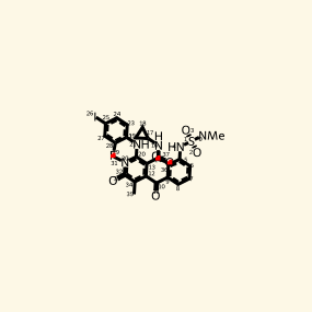 CNS(=O)(=O)Nc1cccc(C(=O)c2c(C(=O)NC3CC3)c(Nc3ccc(I)cc3F)n(C)c(=O)c2C)c1Cl